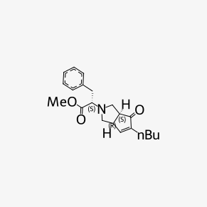 CCCCC1=C[C@H]2CN([C@@H](Cc3ccccc3)C(=O)OC)C[C@H]2C1=O